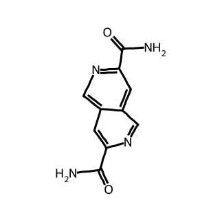 NC(=O)c1cc2cnc(C(N)=O)cc2cn1